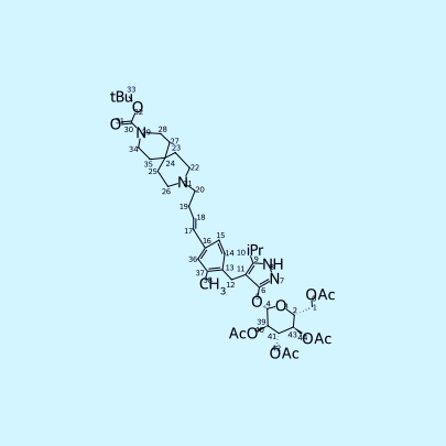 CC(=O)OC[C@H]1O[C@@H](Oc2n[nH]c(C(C)C)c2Cc2ccc(/C=C/CCN3CCC4(CC3)CCN(C(=O)OC(C)(C)C)CC4)cc2C)[C@H](OC(C)=O)[C@@H](OC(C)=O)[C@@H]1OC(C)=O